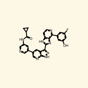 O=C(Nc1cncc(-c2cnc3[nH]nc(-c4nc5c(-c6cc(O)cc(F)c6)nccc5[nH]4)c3c2)c1)C1CC1